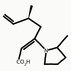 C=C[C@@H](C)C/C(=C/C(=O)O)N1CCCC1C